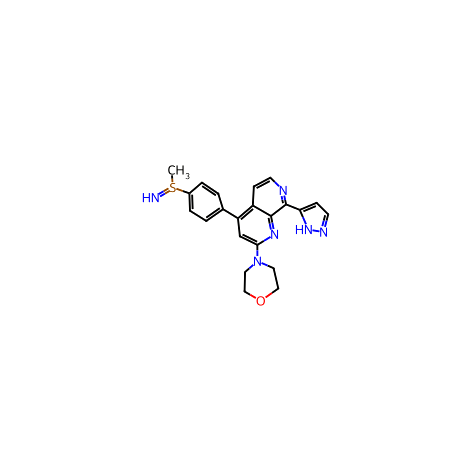 CS(=N)c1ccc(-c2cc(N3CCOCC3)nc3c(-c4ccn[nH]4)nccc23)cc1